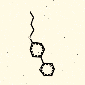 CCCCOc1ccc(-c2cc[c]cc2)cc1